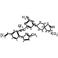 CC=Cc1ccc(-n2ccc(C)n2)c([C@@H](Oc2cc(N3CCC4(CC3)CN[C@H](C(=O)O)C4)nc(N)n2)C(F)(F)F)c1